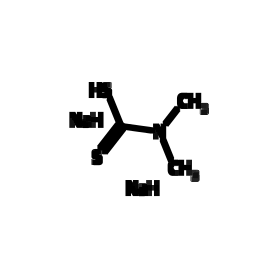 CN(C)C(=S)S.[NaH].[NaH]